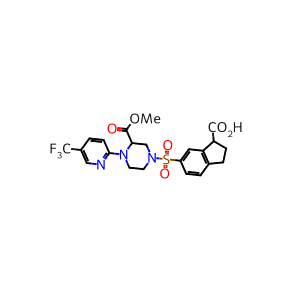 COC(=O)C1CN(S(=O)(=O)c2ccc3c(c2)C(C(=O)O)CC3)CCN1c1ccc(C(F)(F)F)cn1